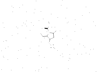 CCC1C(NS(C)(=O)=O)CC(C)N1C(=O)OC